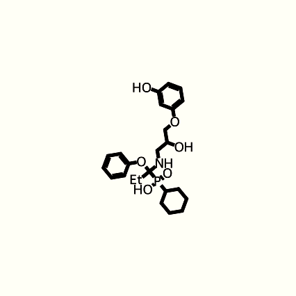 CCC(NCC(O)COc1cccc(O)c1)(Oc1ccccc1)P(=O)(O)C1CCCCC1